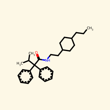 CCCC1CCC(CCNC(=O)C(c2ccccc2)(c2ccccc2)C(C)C)CC1